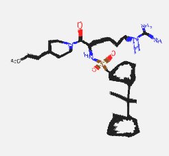 CC(=O)OCCC1CCN(C(=O)C(CCCNC(=N)N)NS(=O)(=O)c2cccc(C(C)(C)c3ccccc3)c2)CC1